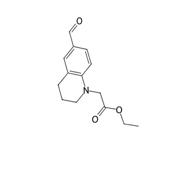 CCOC(=O)CN1CCCc2cc(C=O)ccc21